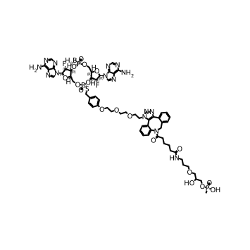 B[P@]1(=O)OC[C@H]2O[C@@H](n3cnc4c(N)ncnc43)[C@H](F)[C@@H]2O[P@@](=O)(SCc2ccc(OCCOCCOCCn3nnc4c3-c3ccccc3N(C(=O)CCCCC(=O)NCCCOCC(O)COP(C)(=O)O)Cc3ccccc3-4)cc2)OC[C@H]2O[C@@H](n3cnc4c(N)ncnc43)[C@H](F)[C@@H]2O1